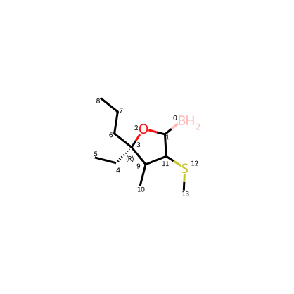 BC1O[C@](CC)(CCC)C(C)C1SC